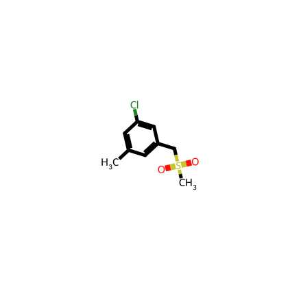 Cc1cc(Cl)cc(CS(C)(=O)=O)c1